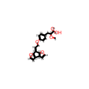 COC(Cc1ccc(OCC=C2c3occc3-c3ccoc32)cc1)C(=O)O